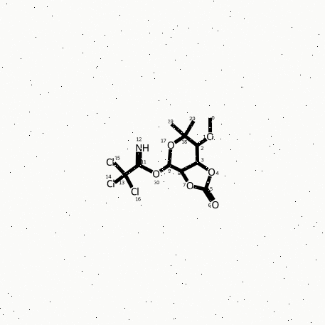 COC1C2OC(=O)OC2C(OC(=N)C(Cl)(Cl)Cl)OC1(C)C